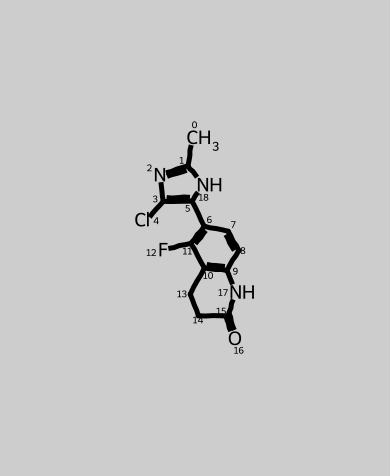 Cc1nc(Cl)c(-c2ccc3c(c2F)CCC(=O)N3)[nH]1